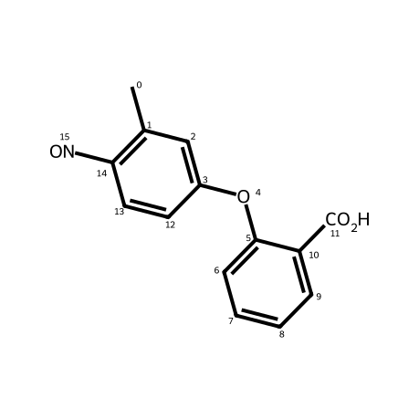 Cc1cc(Oc2ccccc2C(=O)O)ccc1N=O